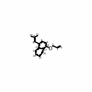 C=CCOc1ccc(C=C(C)C)c2ccccc12